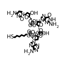 Nc1ccn([C@H]2C[C@@H](O)[C@@H](COP(=O)(O)O[C@@H]3C[C@H](n4cnc5c(=O)[nH]c(N)nc54)O[C@@H]3COP(=O)(O)O[C@@H]3C[C@H](n4cnc5c(N)ncnc54)O[C@@H]3COP(=O)(O)OCCCCCCS)O2)c(=O)n1